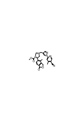 COC(=O)N1CCN(Cc2cnn(-c3cc(C)c(C#N)cn3)c2)CC1c1ccc2c(c1C)COC2=O